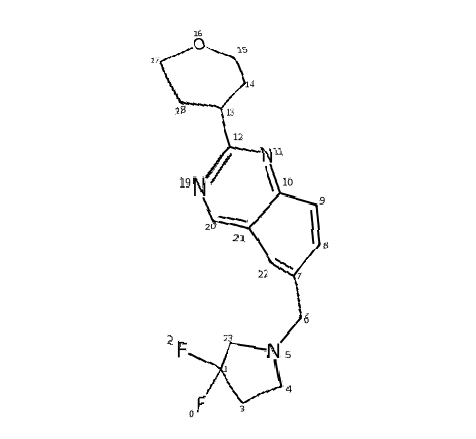 FC1(F)CCN(Cc2ccc3nc(C4CCOCC4)ncc3c2)C1